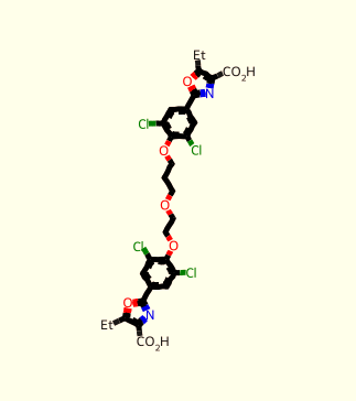 CCc1oc(-c2cc(Cl)c(OCCCOCCOc3c(Cl)cc(-c4nc(C(=O)O)c(CC)o4)cc3Cl)c(Cl)c2)nc1C(=O)O